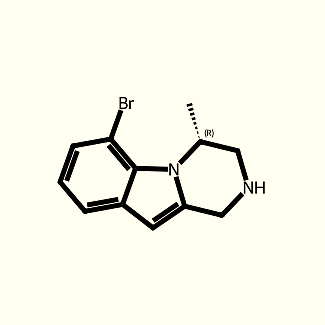 C[C@@H]1CNCc2cc3cccc(Br)c3n21